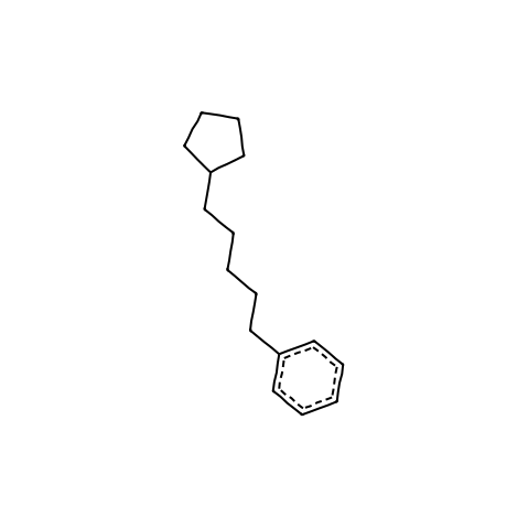 c1ccc(CCCCCC2CCCC2)cc1